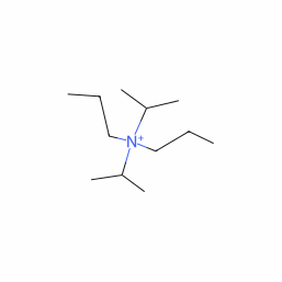 CCC[N+](CCC)(C(C)C)C(C)C